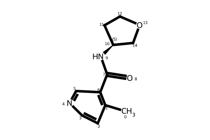 Cc1ccncc1C(=O)N[C@H]1CCOC1